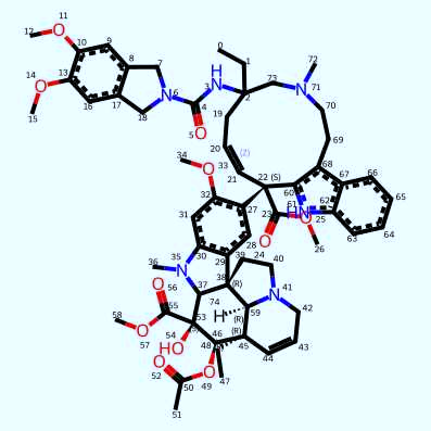 CCC1(NC(=O)N2Cc3cc(OC)c(OC)cc3C2)C/C=C\[C@](C(=O)OC)(c2cc3c(cc2OC)N(C)C2[C@]34CCN3CC=C[C@@](CC)([C@@H](OC(C)=O)[C@]2(O)C(=O)OC)[C@H]34)c2[nH]c3ccccc3c2CCN(C)C1